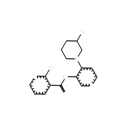 Nc1ncccc1C(=O)Nc1cnccc1N1CCCC(N)C1